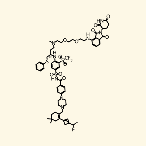 CN(CCOCCOCCNc1cccc2c1C(=O)N(C1CCC(=O)NC1=O)C2=O)CC[C@H](CSc1ccccc1)Nc1ccc(S(=O)(=O)NC(=O)c2ccc(N3CCN(CC4=C(C56CC(C(F)F)(C5)C6)CC(C)(C)CC4)CC3)cc2)cc1S(=O)(=O)C(F)(F)F